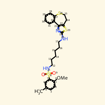 COc1ccc(C)cc1S(=O)(=O)NCCCCCCNc1nc2c(s1)CCSc1ccccc1-2